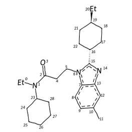 CCN(C(=O)CCn1c2ccc(C)cc2nc1[C@H]1CC[C@H](CC)CC1)C1CCCCC1